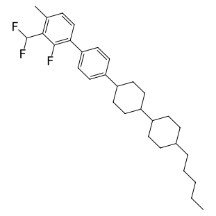 CCCCCC1CCC(C2CCC(c3ccc(-c4ccc(C)c(C(F)F)c4F)cc3)CC2)CC1